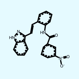 O=C(Nc1ccccc1C=Cc1n[nH]c2ccccc12)c1cccc([N+](=O)[O-])c1